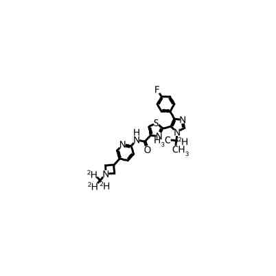 [2H]C([2H])([2H])N1CC(c2ccc(NC(=O)c3csc(-c4c(-c5ccc(F)cc5)ncn4C([2H])(C)C)n3)nc2)C1